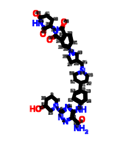 NC(=O)c1nnc(N2CCCC(O)C2)nc1Nc1ccc(C2CCN(CC3CCN(c4ccc5c(c4)C(=O)N(C4CCC(=O)NC4=O)C5=O)C3)CC2)cc1